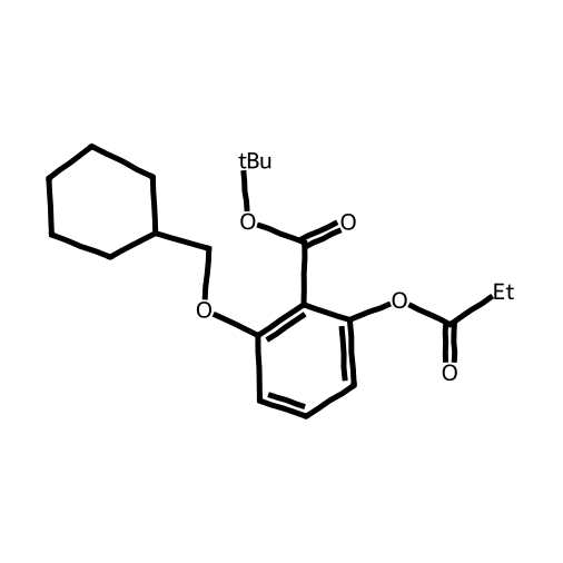 CCC(=O)Oc1cccc(OCC2CCCCC2)c1C(=O)OC(C)(C)C